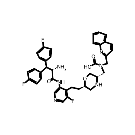 N[C@H](C(=O)Nc1cncc(F)c1CC[C@@H]1CN[C@@H](CN(Cc2ccc3ccccc3n2)C(=O)O)CO1)C(c1ccc(F)cc1)c1ccc(F)cc1